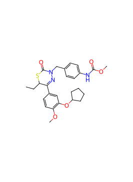 CCC1SC(=O)N(Cc2ccc(NC(=O)OC)cc2)N=C1c1ccc(OC)c(OC2CCCC2)c1